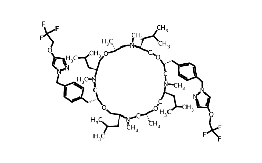 CC(C)C[C@H]1CO[C@H](C)CN(C)[C@@H](CC(C)C)CO[C@H](Cc2ccc(Cn3cc(OCC(F)(F)F)cn3)cc2)CN(C)[C@@H](CC(C)C)CO[C@H](C)CN(C)[C@@H](CC(C)C)CO[C@H](Cc2ccc(Cn3cc(OCC(F)(F)F)cn3)cc2)CN1C